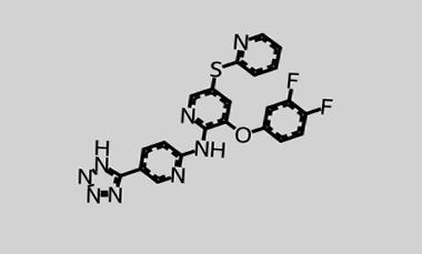 Fc1ccc(Oc2cc(Sc3ccccn3)cnc2Nc2ccc(-c3nnn[nH]3)cn2)cc1F